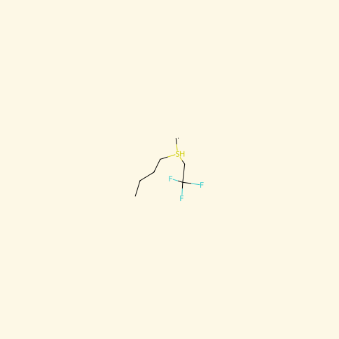 [CH2][SH](CCCC)CC(F)(F)F